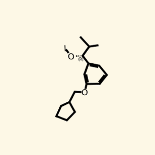 CC(C)[C@@H](OI)c1cccc(OCC2CCCC2)c1